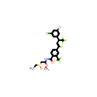 CC[S+]([O-])CC(NC(=O)c1ccc(/C(F)=C/C(c2cc(Cl)cc(Cl)c2)C(F)(F)F)cc1C(F)(F)F)OC